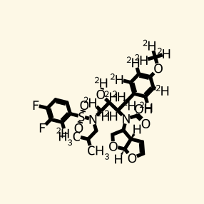 [2H]O[C@]([2H])(C([2H])([2H])N(CC(C)C)S(=O)(=O)c1ccc(F)c(F)c1[2H])[C@@]([2H])(N(C(=O)O)C1CO[C@@H]2OC=C[C@@H]12)C([2H])([2H])c1c([2H])c([2H])c(OC([2H])([2H])[2H])c([2H])c1[2H]